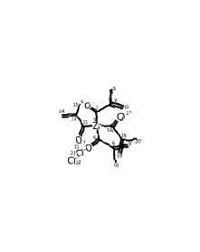 C=C(C)[C](=O)[Zr]([C](=O)C(=C)C)([C](=O)C(=C)C)[C](=O)C(=C)C.[Cl-].[Cl-]